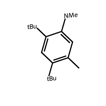 CNc1cc(C)c(C(C)(C)C)cc1C(C)(C)C